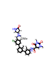 COc1cc(-c2cccc(-c3cccc(NC(=O)c4cn(C)c(=O)n(C)c4=O)c3C)c2C)cc(F)c1CN(C)C1CNC(=O)C1